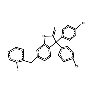 O=C1Nc2cc(Cc3ccccc3Cl)ccc2C1(c1ccc(O)cc1)c1ccc(O)cc1